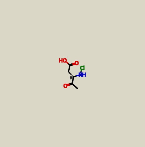 CC(=O)[C@H](CC(=O)O)NCl